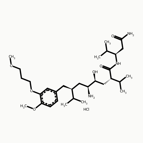 COCCCOc1cc(C[C@@H](C[C@H](N)[C@@H](O)C[C@H](C(=O)N[C@H](CC(N)=O)C(C)C)C(C)C)C(C)C)ccc1OC.Cl